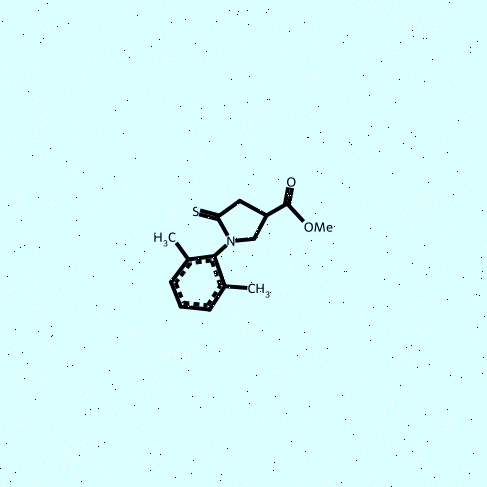 COC(=O)C1CC(=S)N(c2c(C)cccc2C)C1